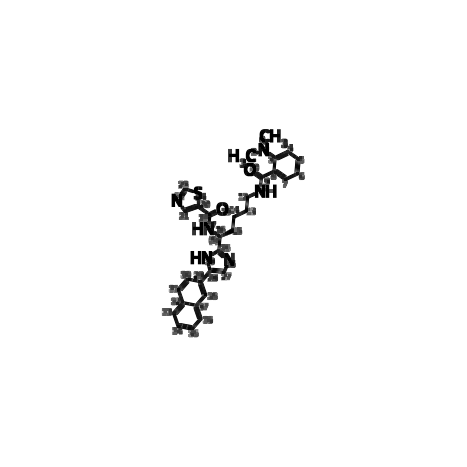 CN(C)c1ccccc1C(=O)NCCCC[C@H](NC(=O)c1cncs1)c1ncc(-c2ccc3ccccc3c2)[nH]1